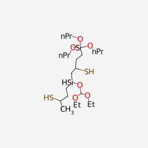 CCCO[Si](CCC(S)C[SiH](CCC(C)S)OC(OCC)OCC)(OCCC)OCCC